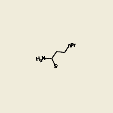 CCCCCC(N)[S]